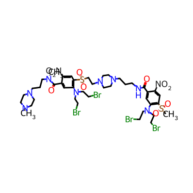 CN1CCN(CCCN(C)C(=O)c2cc(N(CCBr)CCBr)c(S(=O)(=O)CCN3CCN(CCCNC(=O)c4cc(N(CCBr)CCBr)c(S(C)(=O)=O)cc4[N+](=O)[O-])CC3)cc2[N+](=O)[O-])CC1